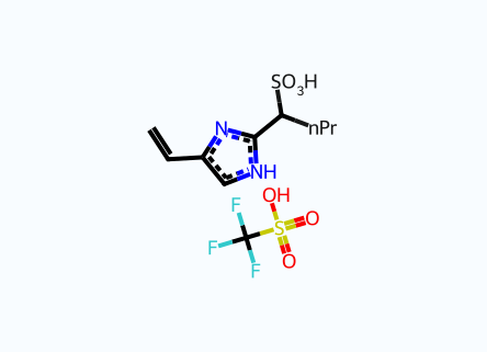 C=Cc1c[nH]c(C(CCC)S(=O)(=O)O)n1.O=S(=O)(O)C(F)(F)F